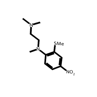 CSc1cc([N+](=O)[O-])ccc1N(C)CCN(C)C